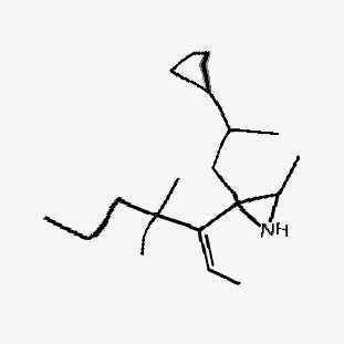 C/C=C(/C(C)(C)CCC)C1(CC(C)C2CC2)NC1C